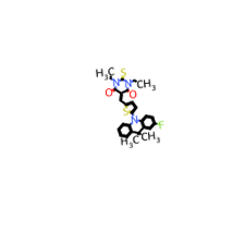 CCN1C(=O)C(=Cc2ccc(N3c4ccccc4C(C)(C)c4cc(F)ccc43)s2)C(=O)N(CC)C1=S